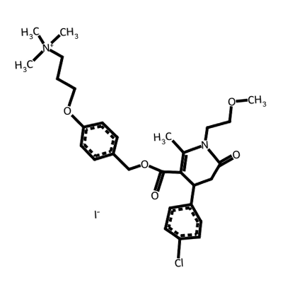 COCCN1C(=O)CC(c2ccc(Cl)cc2)C(C(=O)OCc2ccc(OCCC[N+](C)(C)C)cc2)=C1C.[I-]